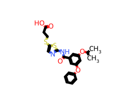 CC(C)Oc1cc(Oc2ccccc2)cc(C(=O)Nc2ncc(SCCC(=O)O)s2)c1